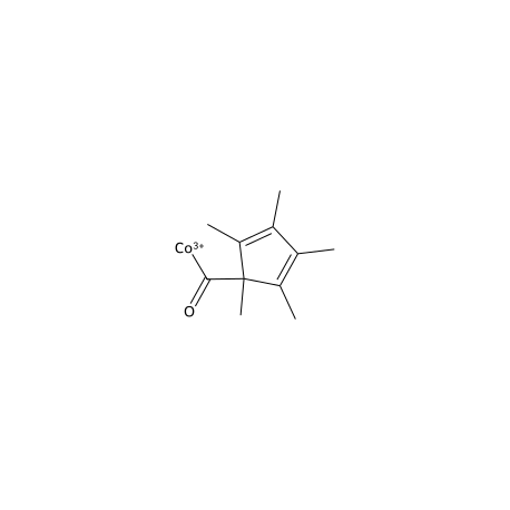 CC1=C(C)C(C)([C](=O)[Co+3])C(C)=C1C